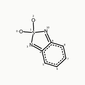 [O]S1([O])N=c2ccccc2=N1